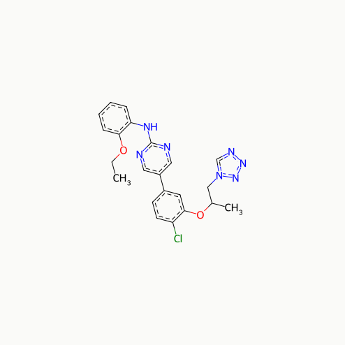 CCOc1ccccc1Nc1ncc(-c2ccc(Cl)c(OC(C)Cn3cnnn3)c2)cn1